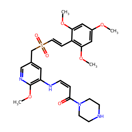 COc1cc(OC)c(/C=C/S(=O)(=O)Cc2cnc(OC)c(N/C=C\C(=O)N3CCNCC3)c2)c(OC)c1